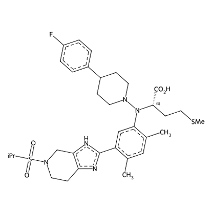 CSCC[C@@H](C(=O)O)N(c1cc(-c2nc3c([nH]2)CN(S(=O)(=O)C(C)C)CC3)c(C)cc1C)N1CCC(c2ccc(F)cc2)CC1